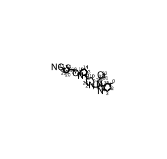 Cc1ccc2nc(CN3CCC(c4cccc(OCc5ccc(C#N)s5)n4)CC3)n(C[C@@H]3CCO3)c2c1